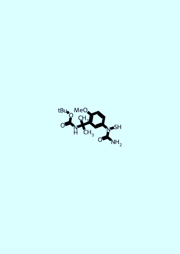 COc1ccc(N(S)C(N)=O)cc1C(C)(C)NC(=O)OC(C)(C)C